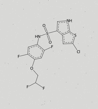 O=S(=O)(Nc1cc(F)c(OCC(F)F)cc1F)c1c[nH]c2sc(Cl)cc12